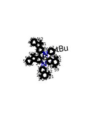 CC(C)(C)c1ccc(N2B3c4cc5c(cc4N(c4ccc6c(c4)C(C)(C)CCC6(C)C)c4cc6c(c(c43)-c3cc4c(cc32)C(C)(C)c2ccccc2-4)C(C)(C)c2ccccc2-6)C(C)(C)CCC5(C)C)cc1